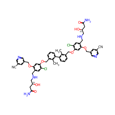 Cc1c(COc2cc(OCc3cncc(C#N)c3)c(CNC[C@@H](O)CC(N)=O)cc2Cl)cccc1-c1cccc(COc2cc(OCc3cncc(C#N)c3)c(CNC[C@@H](O)CC(N)=O)cc2Cl)c1C